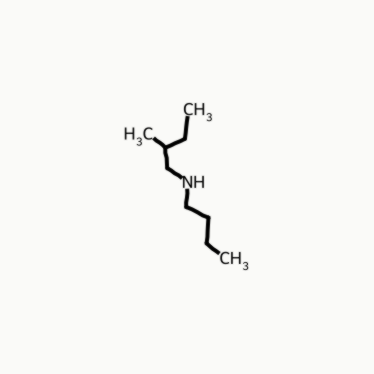 CCCCNCC(C)CC